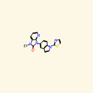 CCn1c(=O)n(-c2ccc3c(ccn3-c3nccs3)c2)c2ncccc21